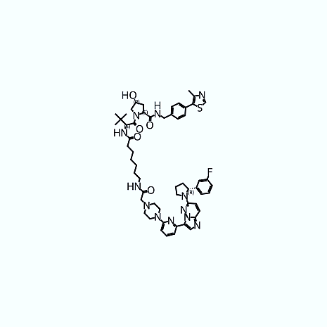 Cc1ncsc1-c1ccc(CNC(=O)[C@@H]2C[C@@H](O)CN2C(=O)[C@@H](NC(=O)CCCCCCNC(=O)CN2CCN(c3cccc(-c4cnc5ccc(N6CCC[C@@H]6c6cccc(F)c6)nn45)n3)CC2)C(C)(C)C)cc1